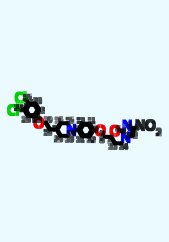 O=[N+]([O-])c1cn2c(n1)OC(COc1ccc(N3CCC(CCOc4ccc(Cl)c(Cl)c4)CC3)cc1)CC2